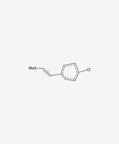 CS/C=C/c1ccc(Cl)cc1